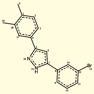 Cc1ccc(-c2cc(-c3cccc(Br)c3)[nH]n2)cc1C